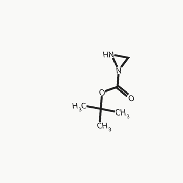 CC(C)(C)OC(=O)N1CN1